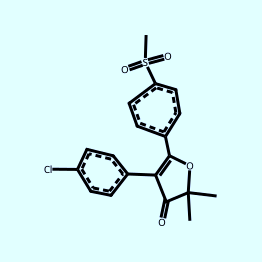 CC1(C)OC(c2ccc(S(C)(=O)=O)cc2)=C(c2ccc(Cl)cc2)C1=O